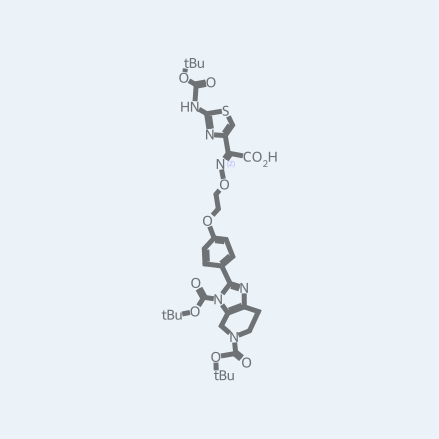 CC(C)(C)OC(=O)Nc1nc(/C(=N/OCCOc2ccc(-c3nc4c(n3C(=O)OC(C)(C)C)CN(C(=O)OC(C)(C)C)CC4)cc2)C(=O)O)cs1